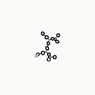 C/C=C\C(=C/CC)c1ccc(N(c2ccc(-c3ccc(N(c4ccc(-c5ccccc5)cc4)c4ccc5c(c4)c4ccccc4n5-c4ccccc4)cc3)cc2)c2ccc3c(c2)c2c(n3-c3ccccc3)C[C@H](C)C=C2)cc1